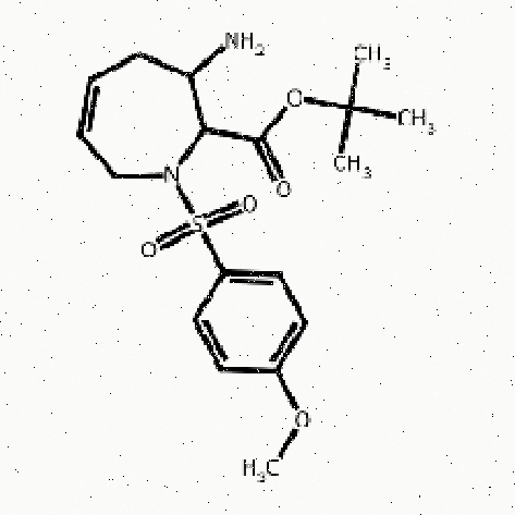 COc1ccc(S(=O)(=O)N2CC=CCC(N)C2C(=O)OC(C)(C)C)cc1